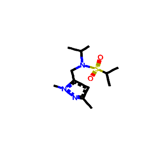 Cc1cc(CN(C(C)C)S(=O)(=O)C(C)C)n(C)n1